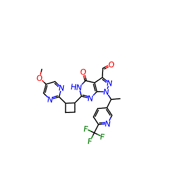 COc1cnc(C2CCC2c2nc3c(c(C=O)nn3C(C)c3ccc(C(F)(F)F)nc3)c(=O)[nH]2)nc1